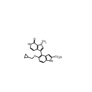 CCOC(=O)c1cc2c(-c3cn(C)c4c(=O)[nH]ccc34)c(OCC3CC3)ccc2[nH]1